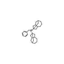 c1ccc(CP(C23CC4CCCC(C2)C(C4)C3)C23CC4CCCC(C2)C(C4)C3)cc1